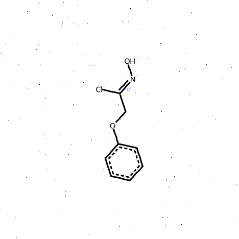 O/N=C(\Cl)COc1ccccc1